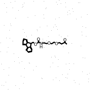 CC(=O)CCOCCOCCNC(=O)OCC1c2ccccc2-c2ccccc21